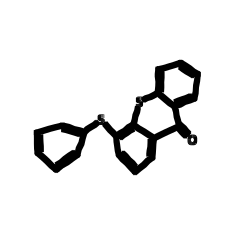 O=c1c2ccccc2sc2c(Sc3ccccc3)cccc12